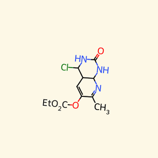 CCOC(=O)OC1=CC2C(Cl)NC(=O)NC2N=C1C